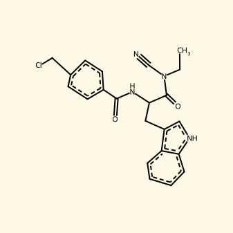 CCN(C#N)C(=O)C(Cc1c[nH]c2ccccc12)NC(=O)c1ccc(CCl)cc1